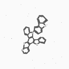 c1ccc2c(c1)sc1ccc(-n3c4ccccc4c4c5sc6ncccc6c5c5sc6ccccc6c5c43)cc12